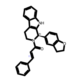 O=C(/C=C/c1ccccc1)N1CCc2c([nH]c3ccccc23)[C@H]1c1ccc2c(c1)CCO2